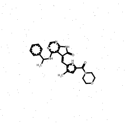 Cc1cc(C(=O)N2CCOCC2)[nH]c1/C=C1\C(=O)Nc2ncnc(NC(C)c3ccccc3)c21